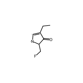 CCC1=[C][N]C(CF)C1=O